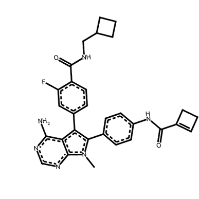 Cn1c(-c2ccc(NC(=O)C3=CCC3)cc2)c(-c2ccc(C(=O)NCC3CCC3)c(F)c2)c2c(N)ncnc21